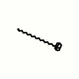 C=CCCCCCCCCCCCCCCCCC12CC3CC(CC(C3)C1)C2